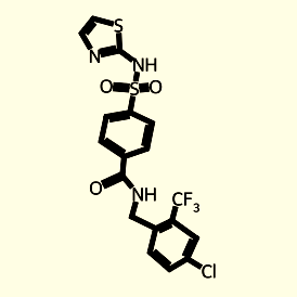 O=C(NCc1ccc(Cl)cc1C(F)(F)F)c1ccc(S(=O)(=O)Nc2nccs2)cc1